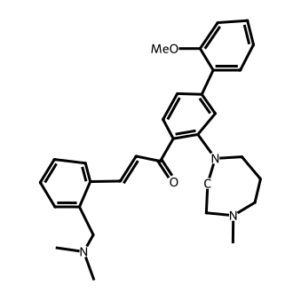 COc1ccccc1-c1ccc(C(=O)C=Cc2ccccc2CN(C)C)c(N2CCCN(C)CC2)c1